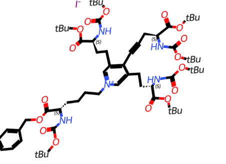 CC(C)(C)OC(=O)N[C@@H](CCCC[n+]1cc(CC[C@H](NC(=O)OC(C)(C)C)C(=O)OC(C)(C)C)c(C#CC[C@H](NC(=O)OC(C)(C)C)C(=O)OC(C)(C)C)c(CC[C@H](NC(=O)OC(C)(C)C)C(=O)OC(C)(C)C)c1)C(=O)OCc1ccccc1.[I-]